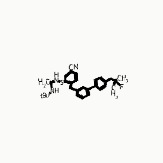 C=C(NSc1cc(C#N)ccc1Cc1cccc(-c2ccc(CC(C)(C)F)cc2)c1)NC(C)(C)C